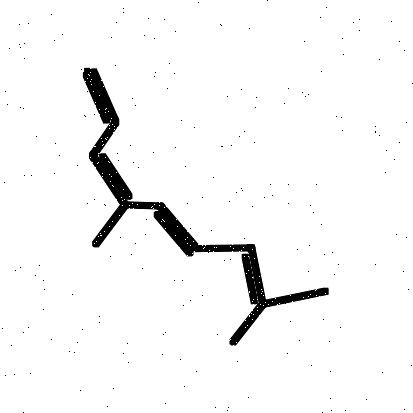 [CH]=CC=C(C)C=CC=C(C)C